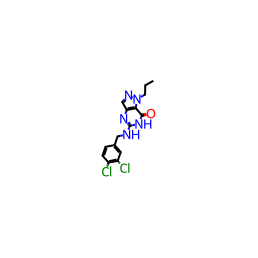 CCCn1ncc2nc(NCc3ccc(Cl)c(Cl)c3)[nH]c(=O)c21